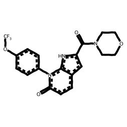 O=C(c1cc2ccc(=O)n(-c3ccc(OC(F)(F)F)cc3)c2[nH]1)N1CCOCC1